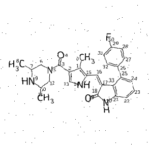 Cc1c(C(=O)N2CC(C)NC(C)C2)c[nH]c1C=C1C(=O)Nc2cccc(-c3ccc(F)cc3)c21